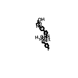 CCc1nc2ccc(C3CCN(C4=NCC(CO)O4)CC3)cn2c1N(C)c1nc(C2=CCC(F)C=C2)cs1